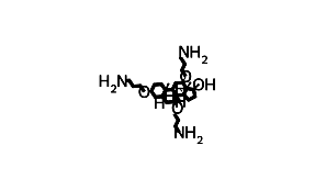 C[C@]12CC[C@@H](OCCCN)C[C@H]1C[C@@H](OCCCN)[C@@H]1[C@@H]2C[C@H](OCCCN)[C@]2(C)[C@@H](O)CC[C@@H]12